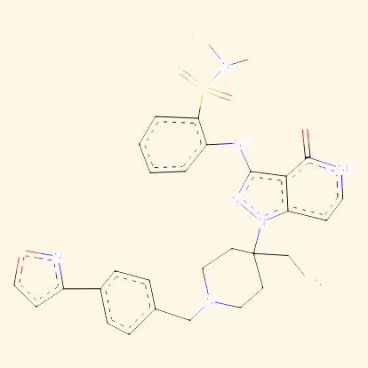 CN(C)S(=O)(=O)c1ccccc1Nc1nn(C2(CC#N)CCN(Cc3ccc(-c4ccon4)cc3)CC2)c2cc[nH]c(=O)c12